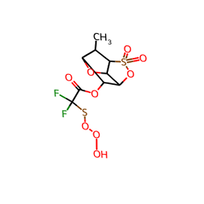 CC1C2OC3C(OS(=O)(=O)C13)C2OC(=O)C(F)(F)SOOO